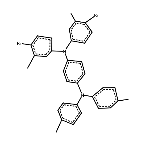 Cc1ccc(N(c2ccc(C)cc2)c2ccc(N(c3ccc(Br)c(C)c3)c3ccc(Br)c(C)c3)cc2)cc1